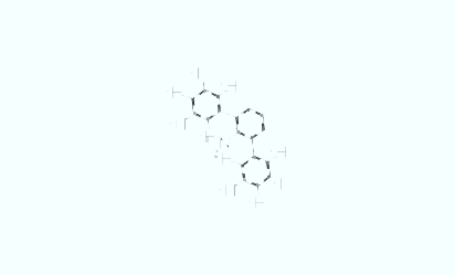 [2H]c1c([2H])c([2H])c(-c2cccc(-c3c([2H])c([2H])c([2H])c([2H])c3[2H])c2N)c([2H])c1[2H]